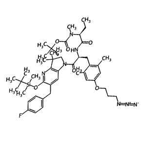 CC[C@@H](C(=O)N[C@@H](Cc1c(C)cc(OCCCN=[N+]=[N-])cc1C)C(=O)N1CC(C)(C)c2nc(O[Si](C)(C)C(C)(C)C)c(Cc3ccc(F)cc3)cc21)N(C)C(=O)OC(C)(C)C